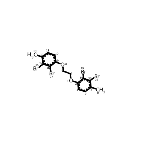 Cc1ccc(OCCOc2ccc(C)c(Br)c2Br)c(Br)c1Br